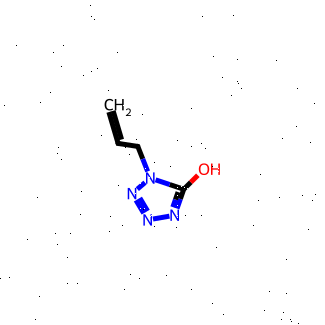 C=CCn1nnnc1O